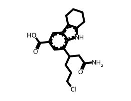 NC(=O)CC(CCCCl)c1cc(C(=O)O)cc2c3c([nH]c12)CCCC3